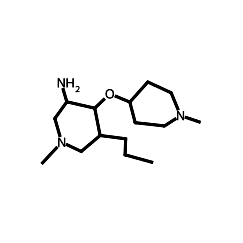 CCCC1CN(C)CC(N)C1OC1CCN(C)CC1